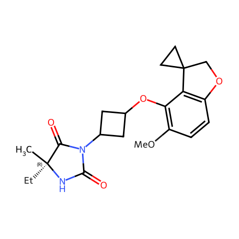 CC[C@@]1(C)NC(=O)N(C2CC(Oc3c(OC)ccc4c3C3(CC3)CO4)C2)C1=O